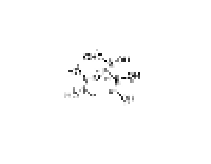 CC(O)CO.O=C[C@@H](O)[C@@H](O)[C@@H](O)CO